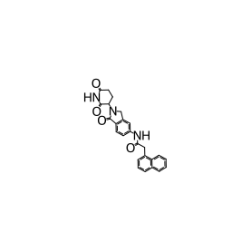 O=C1CCC(N2Cc3cc(NC(=O)Cc4cccc5ccccc45)ccc3C2=O)C(=O)N1